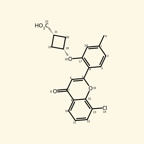 Cc1ccc(-c2cc(=O)c3cccc(Cl)c3o2)c(O[C@H]2C[C@@H](C(=O)O)C2)c1